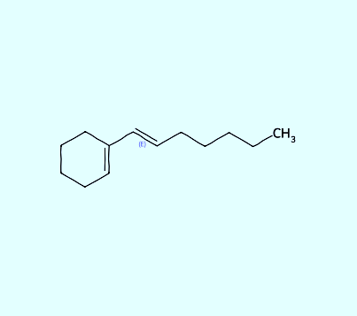 CCCCC/C=C/C1=CCCCC1